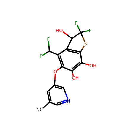 N#Cc1cncc(Oc2c(O)c(O)c3c(c2C(F)F)C(O)C(F)(F)S3)c1